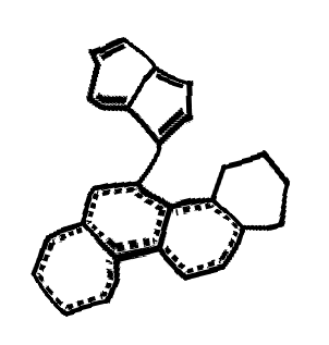 C1=CC2=CC=C(c3cc4ccccc4c4ccc5c(c34)CCCC5)C2=C1